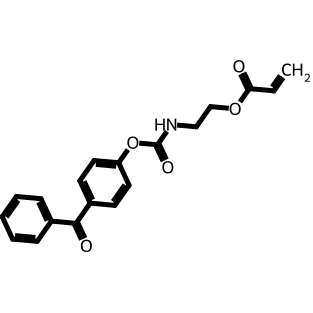 C=CC(=O)OCCNC(=O)Oc1ccc(C(=O)c2ccccc2)cc1